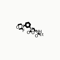 CCC(=O)N[C@@H]1CN(c2cccc(N3CCOCC3F)c2)C(=O)O1